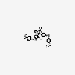 CCOc1ccc(Nc2ccc3c(c2)Oc2cc(Nc4ccc(OCC)cc4)ccc2C32OC(=O)c3ccccc32)cc1